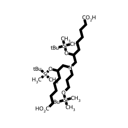 CC(C)(C)[Si](C)(C)OCCCN(CC(CCCCCC(=O)O)O[Si](C)(C)C(C)(C)C)CC(CCCCCC(=O)O)O[Si](C)(C)C(C)(C)C